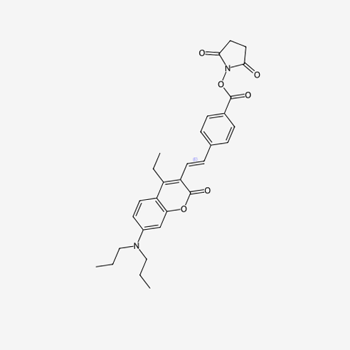 CCCN(CCC)c1ccc2c(CC)c(/C=C/c3ccc(C(=O)ON4C(=O)CCC4=O)cc3)c(=O)oc2c1